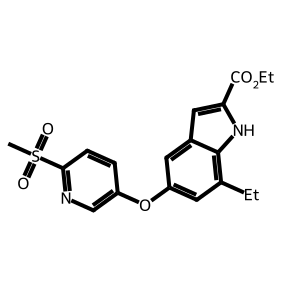 CCOC(=O)c1cc2cc(Oc3ccc(S(C)(=O)=O)nc3)cc(CC)c2[nH]1